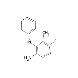 Cc1c(F)ccc(N)c1Nc1ccccc1